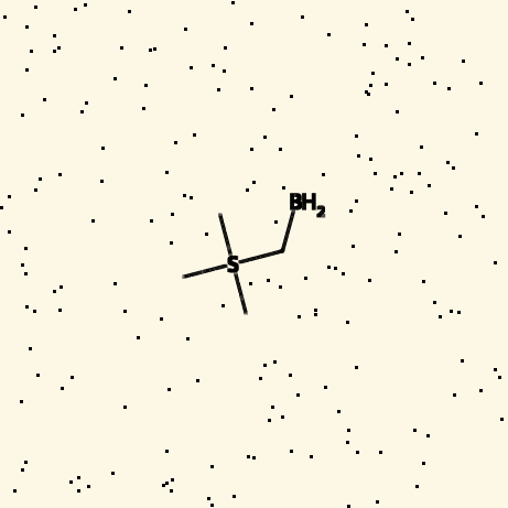 BCS(C)(C)C